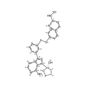 CCNc1ccc2ccc(OCc3cncc(-n4cc([C@@]5(O)CCCO5)c5c(N)ncnc54)c3)cc2n1